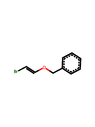 BrC=COCc1ccccc1